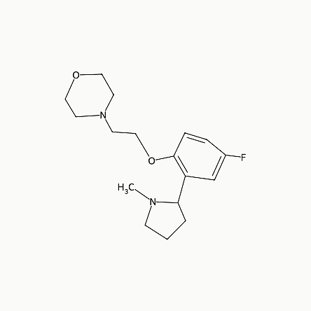 CN1CCCC1c1cc(F)ccc1OCCN1CCOCC1